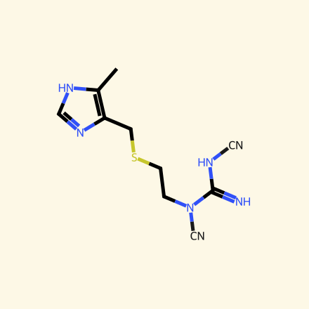 Cc1[nH]cnc1CSCCN(C#N)C(=N)NC#N